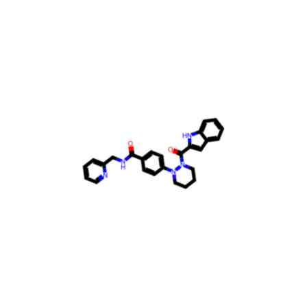 O=C(NCc1ccccn1)c1ccc(N2CCCCN2C(=O)c2cc3ccccc3[nH]2)cc1